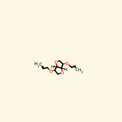 C=CCO[C@@H]1CO[C@@H]2[C@H]1OC[C@H]2OCC=C